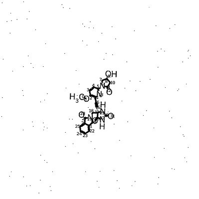 COc1ccc(N2C[C@@H](O)CC2=O)nc1C#C[C@]1(CN2Cc3ccccc3C2=O)NC(=O)NC1=O